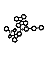 c1ccc(-c2ccc(-c3ccc(N(c4ccc5c(c4)C4(c6ccccc6-5)c5ccccc5N(c5ccccc5)c5ccccc54)c4cccc5c4-c4ccccc4C54c5ccccc5-c5ccccc54)cc3)cc2)cc1